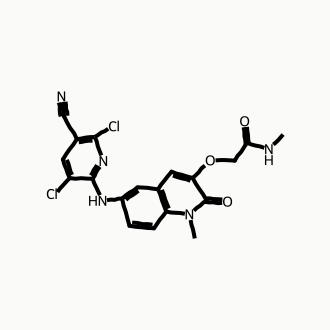 CNC(=O)COc1cc2cc(Nc3nc(Cl)c(C#N)cc3Cl)ccc2n(C)c1=O